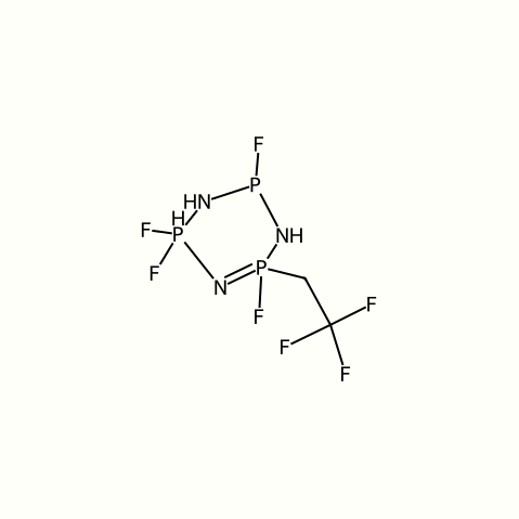 FP1NP(F)(CC(F)(F)F)=N[PH](F)(F)N1